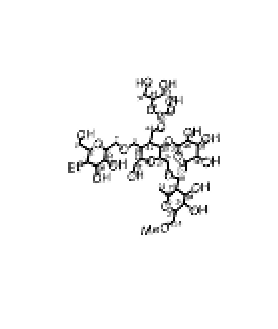 CCC1C(CO)OC(COCC2C(CO)OC(COCC3C(C)OC(COC)C(O)C3O)C(OC3OC(C)C(O)C(O)C3O)C2COP(OO)OC(CO)CO)C(O)C1O